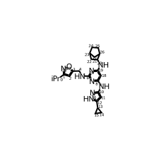 CC(C)c1cc(CNc2nc(Nc3cc(C4CC4)[nH]n3)cc(NC3CC4CCC3C4)n2)on1